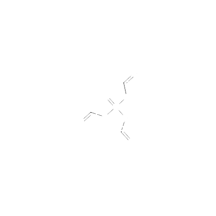 O=COP(=O)(OC=O)OC=O